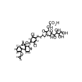 O=C(O)COCC(=O)N(CCCCc1cc(Cl)c(COC2(c3cnccc3-c3ccccc3OC3CC3)CC2)cc1Cl)CC(O)C(O)C(O)C(O)CO